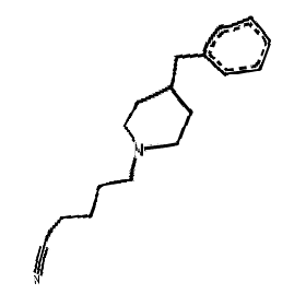 N#CCCCCN1CCC(Cc2ccccc2)CC1